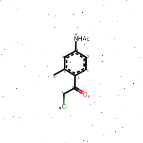 CC(=O)Nc1ccc(C(=O)CCl)c(C)c1